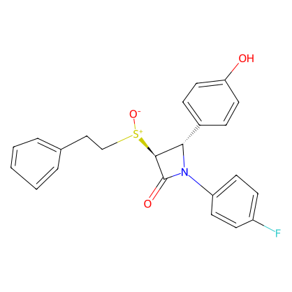 O=C1[C@@H]([S+]([O-])CCc2ccccc2)[C@H](c2ccc(O)cc2)N1c1ccc(F)cc1